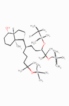 CC(C)C(C)(C)[Si](C)(C)O[C@H](CC[C@@H](CCCC(C)(C)O[Si](C)(C)C)[C@H]1CC[C@H]2[C@@H](O)CCC[C@]12C)C(C)(C)O[Si](C)(C)C